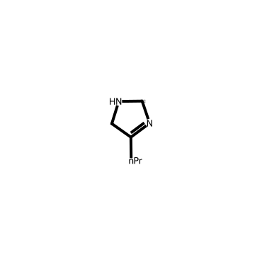 CCCC1=N[C]NC1